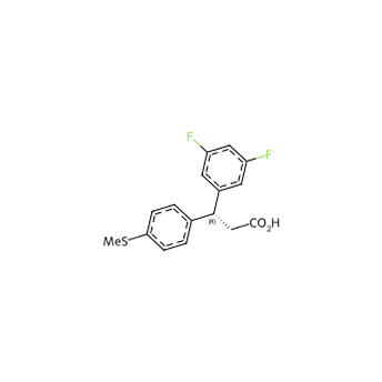 CSc1ccc([C@@H](CC(=O)O)c2cc(F)cc(F)c2)cc1